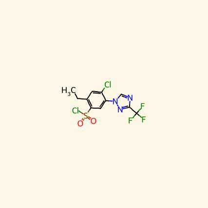 CCc1cc(Cl)c(-n2cnc(C(F)(F)F)n2)cc1S(=O)(=O)Cl